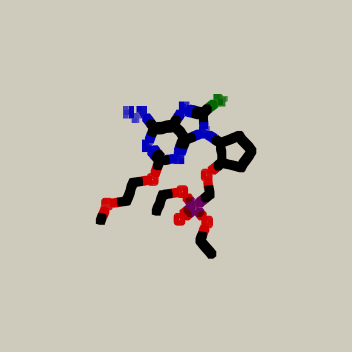 CCOP(=O)(COC1CCCC1n1c(Br)nc2c(N)nc(OCCOC)nc21)OCC